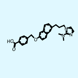 CN(C)c1nccn1CCCc1ccc2cc(OCc3ccc(C(=O)O)cc3)ccc2c1